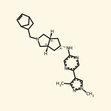 Cc1nn(C)cc1-c1cnc(N[C@@H]2C[C@@H]3CN(CC4CC5C=CC4C5)C[C@@H]3C2)cn1